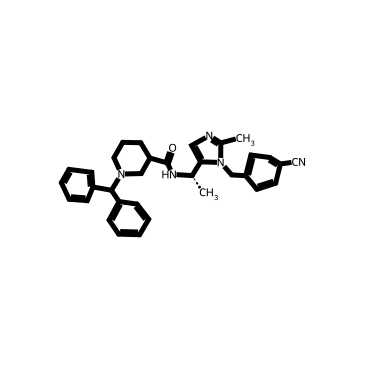 Cc1ncc([C@H](C)NC(=O)C2CCCN(C(c3ccccc3)c3ccccc3)C2)n1Cc1ccc(C#N)cc1